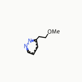 COCCc1cccnn1